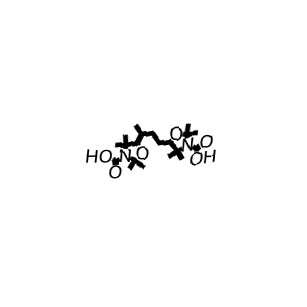 CC(CCC1OC(C)(C)N(C(=O)O)C1(C)C)C1OC(C)(C)N(C(=O)O)C1(C)C